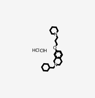 Cl.Cl.c1cc2c(cc1OCCCN1CCCCC1)CN(CC1CCCCC1)CC2